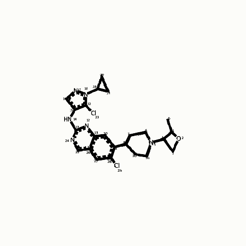 CC1OCC1N1CCC(c2cc3nc(Nc4cnn(C5CC5)c4Cl)ncc3cc2Cl)CC1